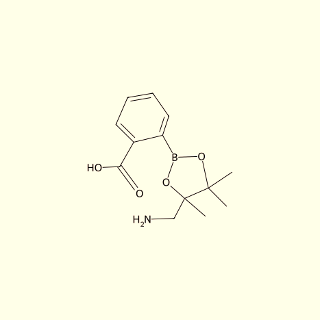 CC1(C)OB(c2ccccc2C(=O)O)OC1(C)CN